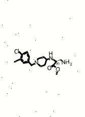 COC(=O)[C@@H](CN)NC1CCN(Cc2ccc(Cl)c(C)c2)CC1